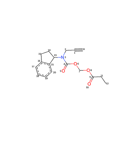 C#CCN(C(=O)OCOC(=O)CC)C1CCc2ccccc21